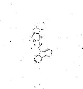 C[C@@H]1OCC(=O)[C@@H]1NC(=O)OCC1c2ccccc2-c2ccccc21